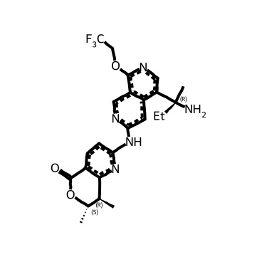 CC[C@@](C)(N)c1cnc(OCC(F)(F)F)c2cnc(Nc3ccc4c(n3)[C@@H](C)[C@H](C)OC4=O)cc12